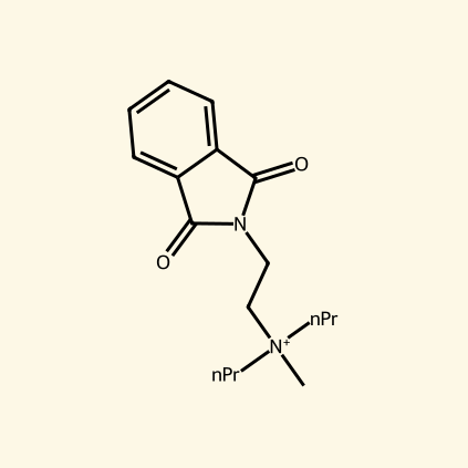 CCC[N+](C)(CCC)CCN1C(=O)c2ccccc2C1=O